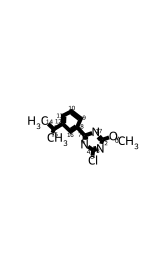 COc1nc(Cl)nc(-c2cccc(C(C)C)c2)n1